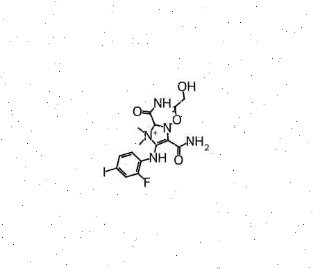 C[N+]1(C)C(Nc2ccc(I)cc2F)=C(C(N)=O)N(OCCO)C1C(N)=O